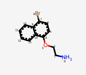 NCCOc1ccc(Br)c2ccccc12